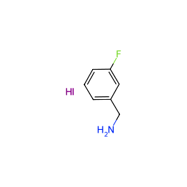 I.NCc1cccc(F)c1